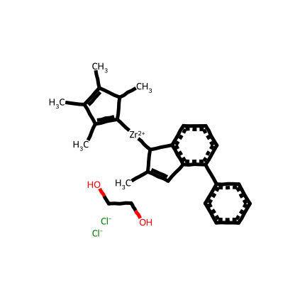 CC1=Cc2c(-c3ccccc3)cccc2[CH]1[Zr+2][C]1=C(C)C(C)=C(C)C1C.OCCO.[Cl-].[Cl-]